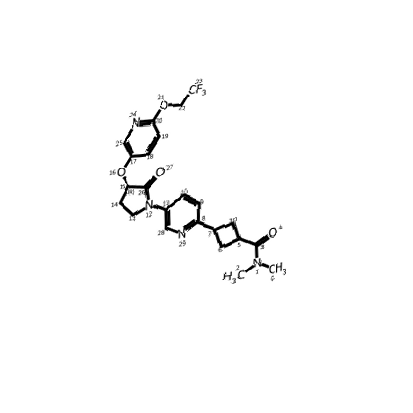 CN(C)C(=O)C1CC(c2ccc(N3CC[C@@H](Oc4ccc(OCC(F)(F)F)nc4)C3=O)cn2)C1